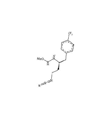 COBN[C@H](CCN=[N+]=[N-])Cc1ccc(C(F)(F)F)cc1